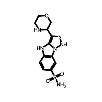 NS(=O)(=O)c1ccc2c(c1)N1NSC(C3COCCN3)=C1N2